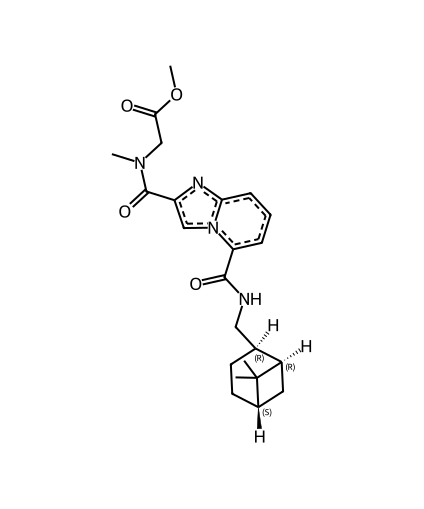 COC(=O)CN(C)C(=O)c1cn2c(C(=O)NC[C@@H]3CC[C@H]4C[C@H]3C4(C)C)cccc2n1